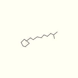 CC(C)CCCCCCC[C]1CCCCC1